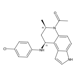 CC(=O)N1c2ccc3[nH]ccc3c2[C@@H](Nc2ccc(Cl)cc2)C[C@H]1C